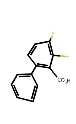 O=C(O)c1c(-c2ccccc2)ccc(F)c1F